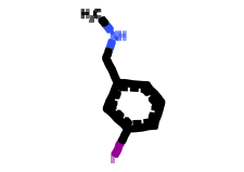 CNCc1cccc(I)c1